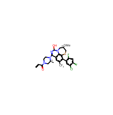 C=CC(=O)N1CCN(C2=NC(O)N3C[C@@H](OC)CSc4c(-c5cc(Cl)c(F)cc5F)c(C(F)(F)F)cc2c43)[C@@H](C)C1